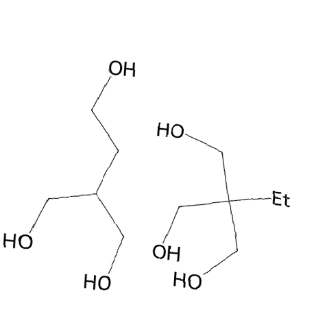 CCC(CO)(CO)CO.OCCC(CO)CO